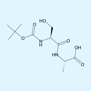 C[C@H](NC(=O)[C@H](CO)NC(=O)OC(C)(C)C)C(=O)O